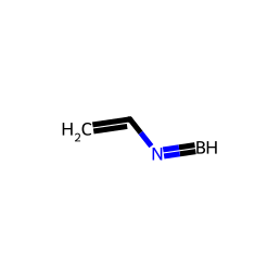 B=NC=C